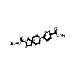 COC(=O)c1ccc(N2CCC3(CCN(C(=O)OC(C)(C)C)C3)CC2)nn1